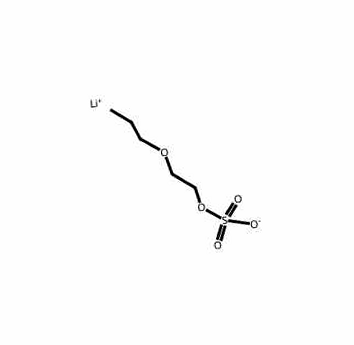 CCCOCCOS(=O)(=O)[O-].[Li+]